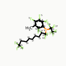 Cc1c(F)c(F)c(F)c(P(C(F)(F)C(F)CCCCCCC(F)(F)F)C(F)(F)C(F)(F)F)c1F